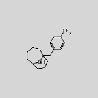 FC(F)(F)c1ccc(CC23BC(CCCC2)CCC3)cc1